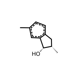 Cc1ccc2c(c1)[C@@H](O)[C@@H](C)C2